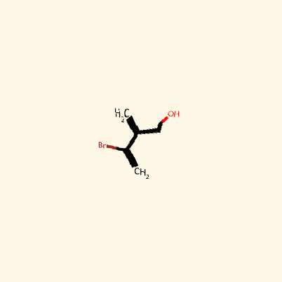 C=C(Br)C(=C)CO